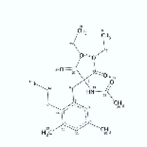 CCOC(=O)C(Cc1cc(C)cc(C)c1CCI)(NC(C)=O)C(=O)OCC